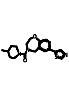 CC1CCN(C(=O)N2CCOc3ccc(-c4cncs4)cc3C2)CC1